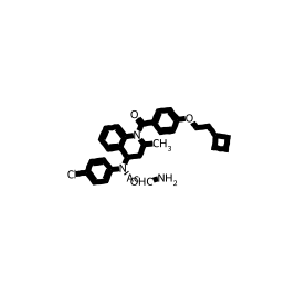 CC(=O)N(c1ccc(Cl)cc1)C1CC(C)N(C(=O)c2ccc(OCCC3CCC3)cc2)c2ccccc21.NC=O